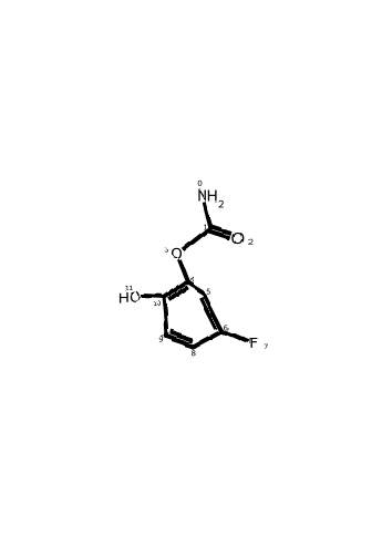 NC(=O)Oc1cc(F)ccc1O